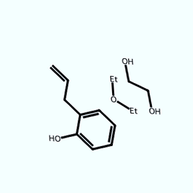 C=CCc1ccccc1O.CCOCC.OCCO